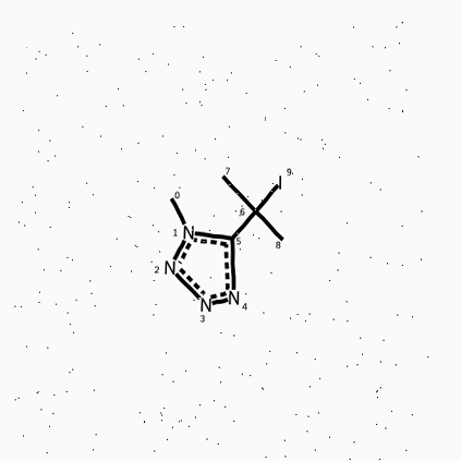 Cn1nnnc1C(C)(C)I